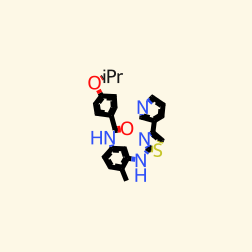 Cc1ccc(NC(=O)c2ccc(OC(C)C)cc2)cc1Nc1nc(-c2cccnc2)cs1